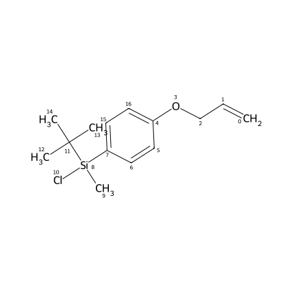 C=CCOc1ccc([Si](C)(Cl)C(C)(C)C)cc1